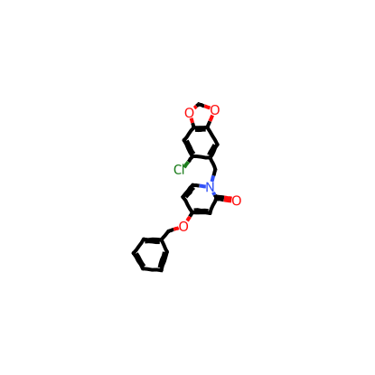 O=c1cc(OCc2ccccc2)ccn1Cc1cc2c(cc1Cl)OCO2